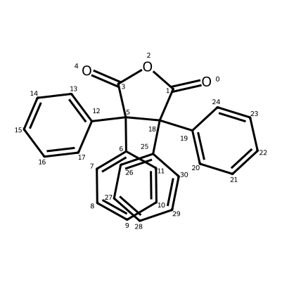 O=C1OC(=O)C(c2ccccc2)(c2ccccc2)C1(c1ccccc1)c1ccccc1